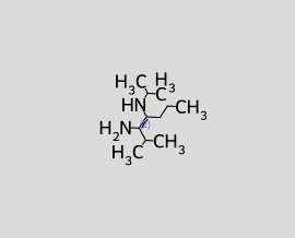 CCC/C(NC(C)C)=C(/N)C(C)C